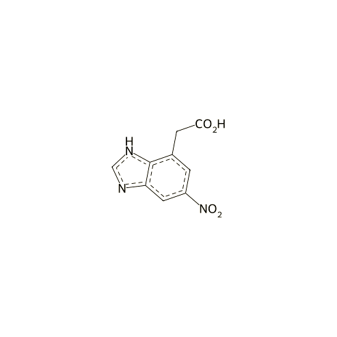 O=C(O)Cc1cc([N+](=O)[O-])cc2nc[nH]c12